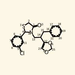 O=C1CSC(c2cccc(Cl)c2)N1CC(Cc1ccccc1)C1=COCO1